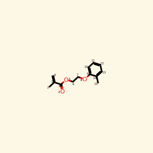 C=C(C)C(=O)OCCOc1ccccc1C